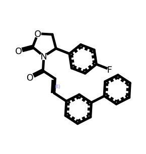 O=C(/C=C/c1cccc(-c2ccccc2)c1)N1C(=O)OCC1c1ccc(F)cc1